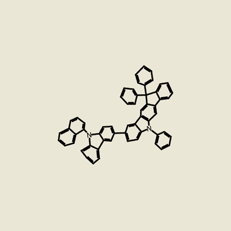 c1ccc(-n2c3ccc(-c4ccc5c(c4)c4ccccc4n5-c4cccc5ccccc45)cc3c3cc4c(cc32)-c2ccccc2C4(c2ccccc2)c2ccccc2)cc1